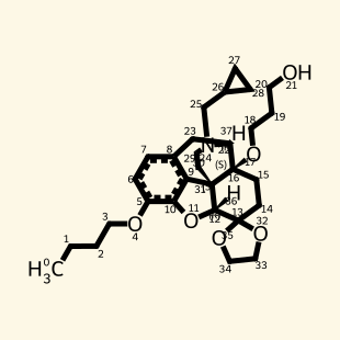 CCCCOc1ccc2c3c1O[C@H]1C4(CC[C@@]5(OCCCO)[C@@H](C2)N(CC2CC2)CC[C@]315)OCCO4